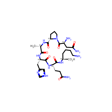 C[C@H](NC(=O)[C@@H]1CCCN1C(=O)[C@@H](N)CC(N)=O)C(=O)N[C@@H](Cc1c[nH]cn1)C(=O)N[C@@H](CCC(N)=O)C(=O)N[C@@H](CCCCN)C(=O)O